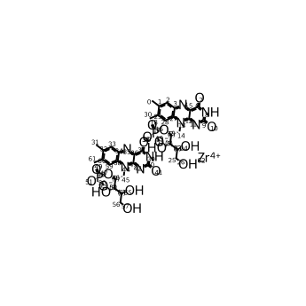 Cc1cc2nc3c(=O)[nH]c(=O)nc-3n(C[C@@H](OP(=O)([O-])[O-])[C@@H](O)[C@@H](O)CO)c2cc1C.Cc1cc2nc3c(=O)[nH]c(=O)nc-3n(C[C@@H](OP(=O)([O-])[O-])[C@@H](O)[C@@H](O)CO)c2cc1C.[Zr+4]